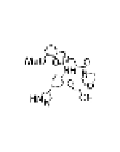 COc1cccc(CN(CCC(=O)N2CCOCC2)C(=O)Nc2ccc(-c3cn[nH]c3)cc2OCCO)c1